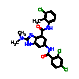 Cc1c(Cl)cccc1NC(=O)c1cc(NC(=O)c2ccc(Cl)cc2Cl)cc2[nH]c(N(C)C)nc12